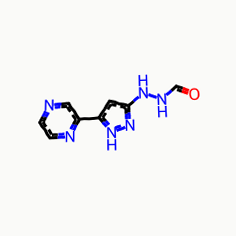 O=CNNc1cc(-c2cnccn2)[nH]n1